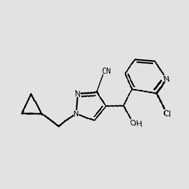 N#Cc1nn(CC2CC2)cc1C(O)c1cccnc1Cl